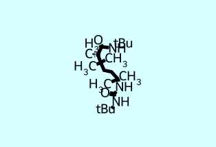 C[C@H](C(=O)NC(C)(C)C)C(C)(C)CCC(C)(C)NC(=O)NC(C)(C)C